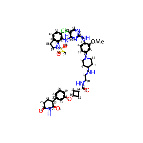 COc1cc(N2CCC(NCCNC(=O)[C@H]3C[C@@H](Oc4cccc(C5CCC(=O)NC5=O)c4)C3)CC2)ccc1Nc1ncc(Cl)c(Nc2cccc3c2N(S(C)(=O)=O)CC3)n1